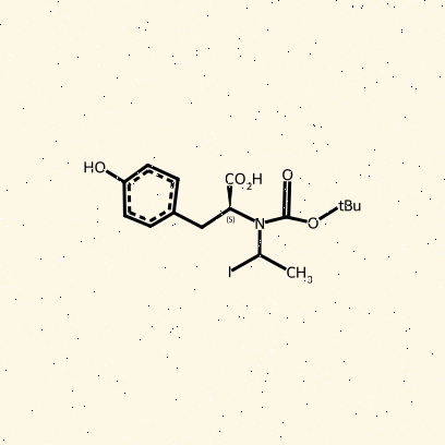 CC(I)N(C(=O)OC(C)(C)C)[C@@H](Cc1ccc(O)cc1)C(=O)O